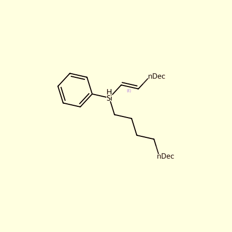 CCCCCCCCCC/C=C/[SiH](CCCCCCCCCCCCCC)c1ccccc1